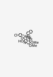 CCc1c(OC)c(OC)cc2nc(O)c(C(=O)C(Cc3ccc(Cl)cc3)Nc3ccc4ccccc4c3)c(O)c12